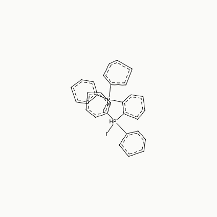 I[PH](c1ccccc1)(c1ccccc1)c1ccccc1[PH](I)(c1ccccc1)c1ccccc1